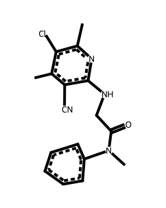 Cc1nc(NCC(=O)N(C)c2ccccc2)c(C#N)c(C)c1Cl